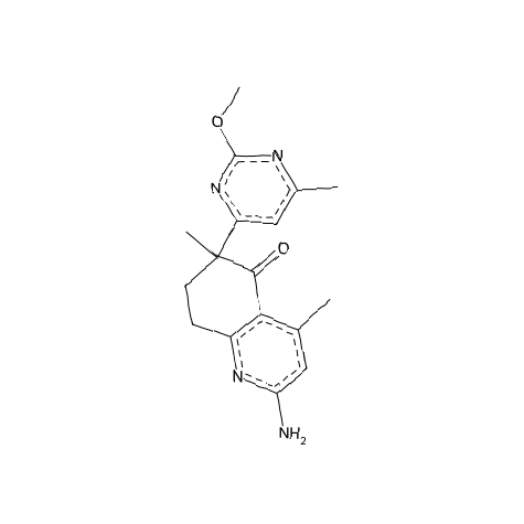 COc1nc(C)cc(C2(C)CCc3nc(N)cc(C)c3C2=O)n1